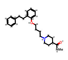 CNC(=O)C1CCN(CCCCOc2ccccc2CCc2ccccc2)CC1